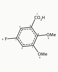 COc1cc(F)cc(C(=O)O)c1OC